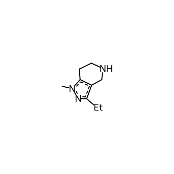 CCc1nn(C)c2c1CNCC2